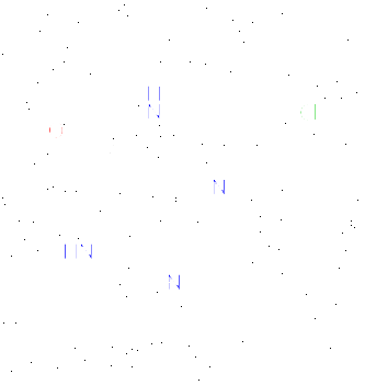 O=c1[nH]c(CCl)nc2nc[nH]c12